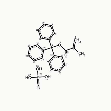 C=C(C)C(=O)OC(c1ccccc1)(c1ccccc1)c1ccccc1.OP(O)(O)=S